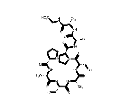 CC(C)[C@H](NC(=O)[C@@H]1CCCN1C(=O)[C@H](CO)NC(=O)[C@H](C)NC(=O)[C@H](CO)NC(=O)[C@H](C)NC(=O)[C@@H]1CCCN1)C(=O)N[C@@H](C)C(=O)NCC(=O)O